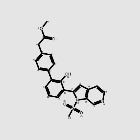 COC(=O)Cc1ccc(-c2cccc(-c3cc4ccncc4n3S(C)(=O)=O)c2O)cc1